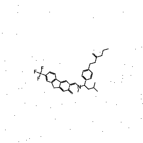 C=C(CCC)CCc1ccc(C(CC(C)C)N(C)/C=c2/cc3c(cc2=C)Cc2cc(C(F)(F)F)ccc2-3)cc1